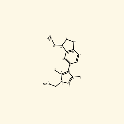 COCn1nc(C)c(-c2ccc3c(c2)C(CN)CC3)c1C